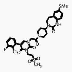 CSc1ccc2c(c1)CCN(C1CCN(C(=O)Cn3cc(-c4cccc(F)c4Cl)c(=O)n(CCS(C)(=O)=O)c3=O)CC1)C(=O)N2